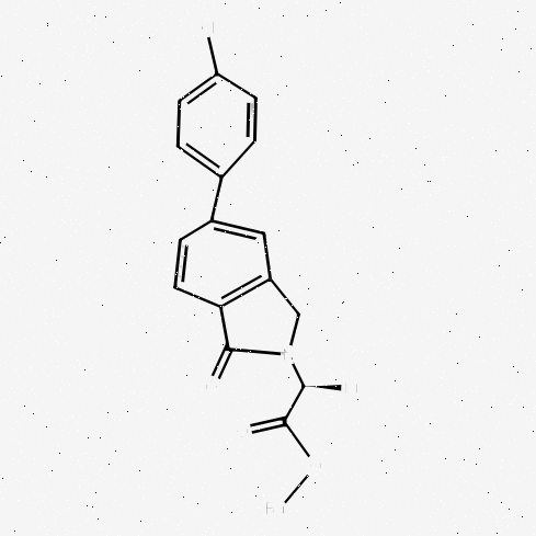 CC[C@@H](C(=O)OC(C)(C)C)N1Cc2cc(-c3ccc(Cl)cc3)ccc2C1=O